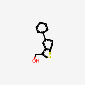 OCc1csc2ccc(-c3ccccc3)cc12